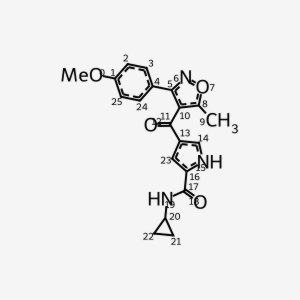 COc1ccc(-c2noc(C)c2C(=O)c2c[nH]c(C(=O)NC3CC3)c2)cc1